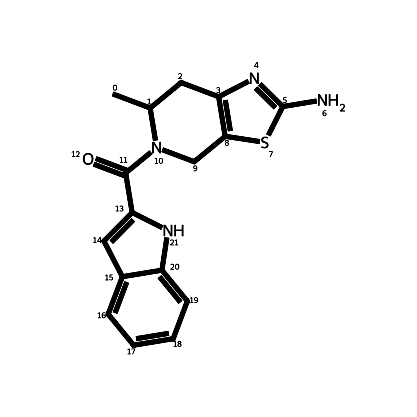 CC1Cc2nc(N)sc2CN1C(=O)c1cc2ccccc2[nH]1